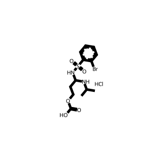 CC(C)NC(CCOC(=O)O)NS(=O)(=O)c1ccccc1Br.Cl